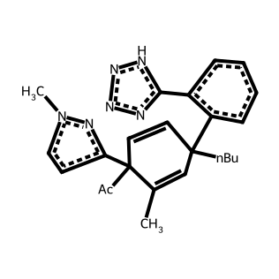 CCCCC1(c2ccccc2-c2nnn[nH]2)C=CC(C(C)=O)(c2ccn(C)n2)C(C)=C1